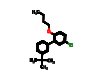 CCCCOc1ccc(Cl)cc1-c1cccc(C(C)(C)C)c1